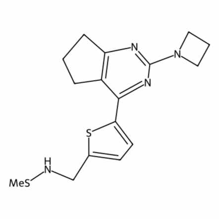 CSNCc1ccc(-c2nc(N3CCC3)nc3c2CCC3)s1